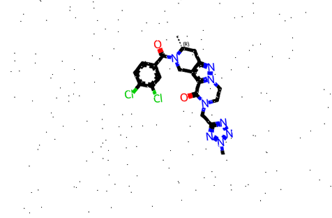 C[C@@H]1Cc2nn3c(c2CN1C(=O)c1ccc(Cl)c(Cl)c1)C(=O)N(Cc1nnn(C)n1)CC3